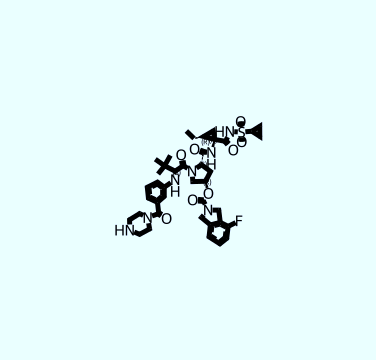 CC[C@@H]1C[C@]1(NC(=O)[C@@H]1C[C@@H](OC(=O)N2Cc3cccc(F)c3C2)CN1C(=O)[C@@H](Nc1cccc(C(=O)N2CCNCC2)c1)C(C)(C)C)C(=O)NS(=O)(=O)C1CC1